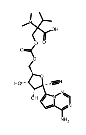 CC(C)C(COC(=O)OC[C@H]1O[C@@](C#N)(c2ccc3c(N)ncnn23)[C@H](O)[C@@H]1O)(C(=O)O)N(C)C